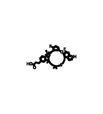 Cn1nc2nc1-c1cc(ccc1F)Oc1c(F)cc3[nH]ccc3c1CCSCC(C)(C)CCC2(C)c1cccc(CCC(=O)O)c1